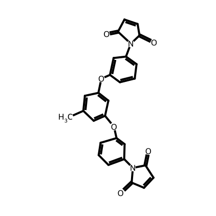 Cc1cc(Oc2cccc(N3C(=O)C=CC3=O)c2)cc(Oc2cccc(N3C(=O)C=CC3=O)c2)c1